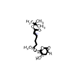 C[C@H](CC/C=C/C(=O)OC(C)(C)C)O[C@@H]1OC2O[C@@H]2C[C@@H]1O